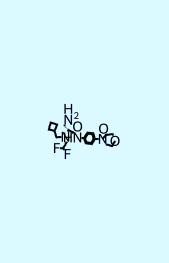 NC[C@H](C(=O)Nc1ccc(N2CCOCC2=O)cc1)N(CC(F)F)CC1CCC1